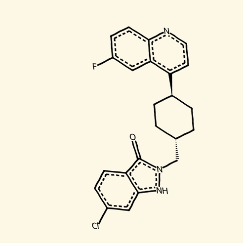 O=c1c2ccc(Cl)cc2[nH]n1C[C@H]1CC[C@H](c2ccnc3ccc(F)cc32)CC1